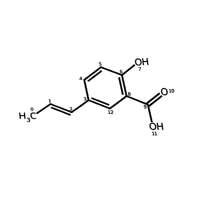 C/C=C/c1ccc(O)c(C(=O)O)c1